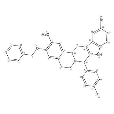 COc1cc2c(cc1OCc1ccccc1)CCN1C2Cc2c([nH]c3ccc(Br)cc23)C1c1ccc(F)cc1